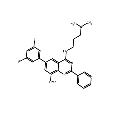 COc1cc(-c2cc(F)cc(F)c2)cc2c(NCCCN(C)C)nc(-c3cccnc3)nc12